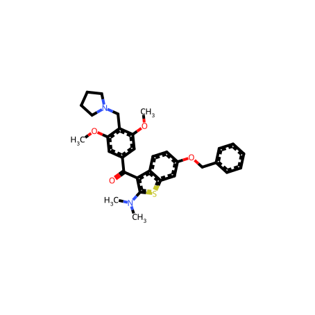 COc1cc(C(=O)c2c(N(C)C)sc3cc(OCc4ccccc4)ccc23)cc(OC)c1CN1CCCC1